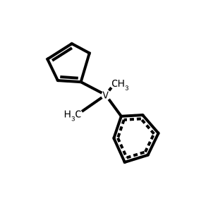 [CH3][V]([CH3])([C]1=CC=CC1)[c]1ccccc1